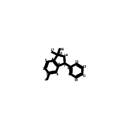 Cc1ccc2c(c1)C(c1ccccc1)CC2(C)C